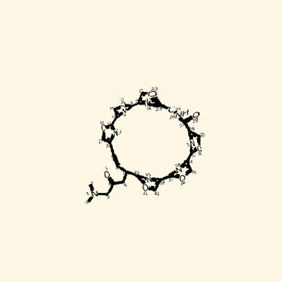 CN(C)CC(=O)CC1/C=C/c2coc(n2)-c2coc(n2)-c2coc(n2)CNC(=O)c2coc(n2)-c2coc(n2)-c2coc1n2